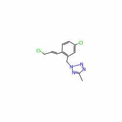 Cc1nnn(Cc2cc(Cl)ccc2/C=C/CCl)n1